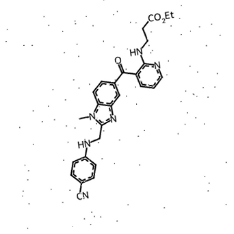 CCOC(=O)CCNc1ncccc1C(=O)c1ccc2c(c1)nc(CNc1ccc(C#N)cc1)n2C